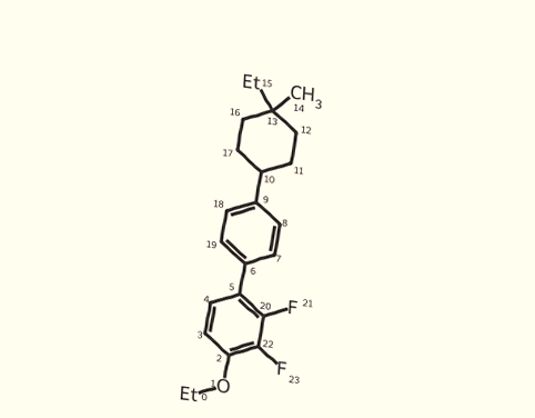 CCOc1ccc(-c2ccc(C3CCC(C)(CC)CC3)cc2)c(F)c1F